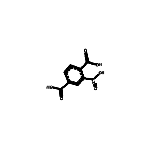 O=C(O)c1ccc(C(=O)O)c([PH](=O)O)c1